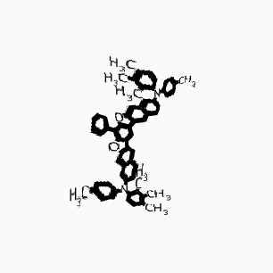 Cc1ccc(N(c2ccc3cc4c(cc3c2)oc2c(-c3ccccc3)c3oc5cc6cc(N(c7ccc(C)cc7)c7ccc(C)c(C)c7C)ccc6cc5c3cc24)c2ccc(C)c(C)c2C)cc1